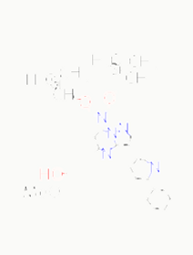 COC[C@]1(O)CC[C@@H](c2cc(N(COCC[Si](C)(C)C)COCC[Si](C)(C)C)n3ncc(-c4ccc(-c5ccccc5)nc4)c3n2)CC1